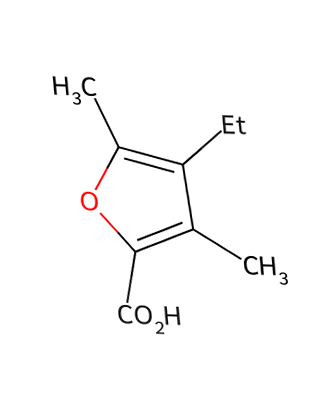 CCc1c(C)oc(C(=O)O)c1C